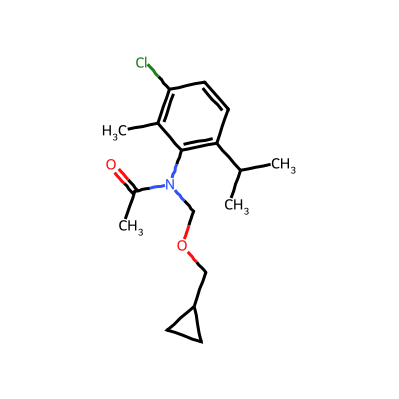 CC(=O)N(COCC1CC1)c1c(C(C)C)ccc(Cl)c1C